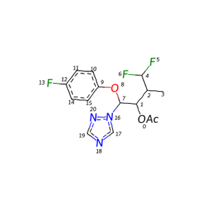 CC(=O)OC(C(C)C(F)F)C(Oc1ccc(F)cc1)n1cncn1